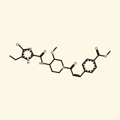 CCc1[nH]c(C(=O)NC2CCN(C(=O)/C=C\c3ccc(C(=O)OC)cc3)CC2OC)nc1Cl